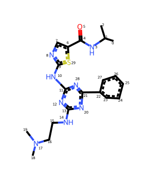 CC(C)NC(=O)c1cnc(Nc2nc(NCCN(C)C)nc(-c3ccccc3)n2)s1